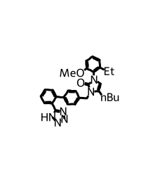 CCCCc1cn(-c2c(CC)cccc2OC)c(=O)n1Cc1ccc(-c2ccccc2-c2nnn[nH]2)cc1